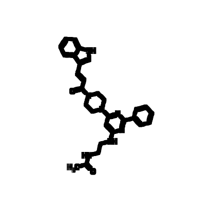 CC(=O)NCCNc1cc(N2CCN(C(=O)/C=C/c3c[nH]c4ccccc34)CC2)nc(-c2ccccc2)n1